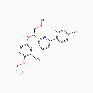 CCOC[C@H](Oc1ccc(OCC(=O)O)c(C)c1)c1cccc(-c2ccc(C#N)cc2F)n1